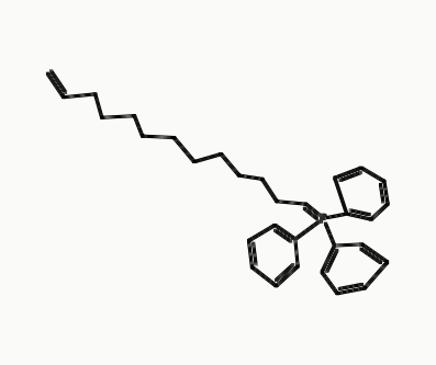 C=CCCCCCCCCCCC=P(c1ccccc1)(c1ccccc1)c1ccccc1